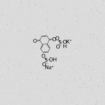 O=C1C=CC(=O)c2ccccc21.O=S([O-])O.O=S([O-])O.[K+].[Na+]